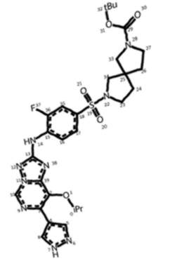 CC(C)Oc1c(-c2cn[nH]c2)ncn2nc(Nc3ccc(S(=O)(=O)N4CCC5(CCN(C(=O)OC(C)(C)C)C5)C4)cc3F)nc12